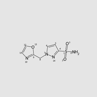 NS(=O)(=O)c1ccn(Cc2ncco2)n1